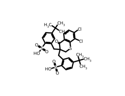 CC(C)(C)c1ccc(S(=O)(=O)O)c(CC2(Cc3cc(C(C)(C)C)ccc3S(=O)(=O)O)CSc3c(ccc(Cl)c3Cl)C2=O)c1